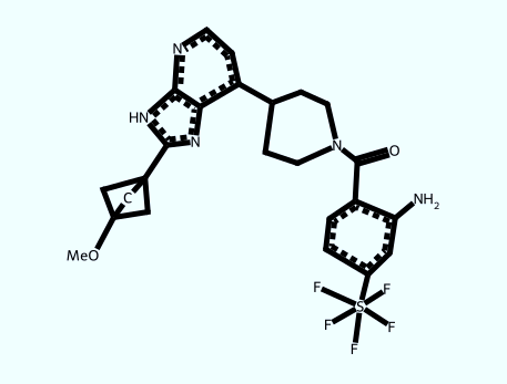 COC12CC(c3nc4c(C5CCN(C(=O)c6ccc(S(F)(F)(F)(F)F)cc6N)CC5)ccnc4[nH]3)(C1)C2